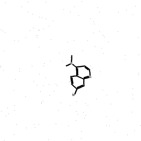 CN(C)c1ccnc2cc(Br)ccc12